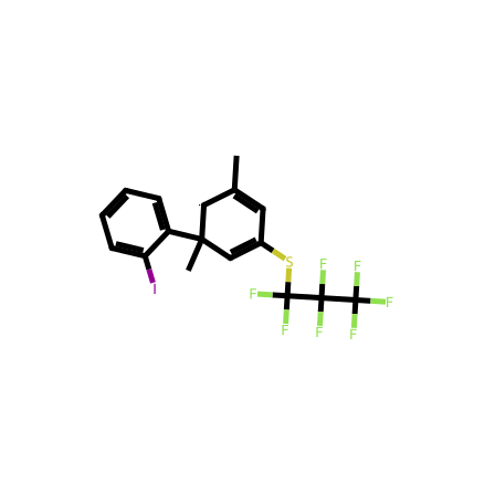 CC1=CC(SC(F)(F)C(F)(F)C(F)(F)F)=CC(C)(c2ccccc2I)[CH]1